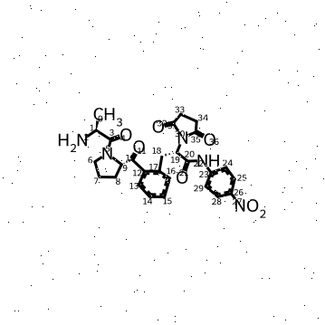 C[C@H](N)C(=O)N1CCC[C@H]1C(=O)c1ccccc1C[C@@H](C(=O)Nc1ccc([N+](=O)[O-])cc1)N1C(=O)CCC1=O